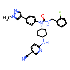 Cn1cc(-c2ccc(N(C(=O)NCc3ccccc3F)[C@H]3CC[C@H](Nc4ccc(C#N)cn4)CC3)cc2)cn1